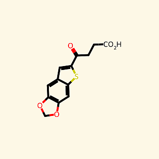 O=C(O)CCC(=O)c1cc2cc3c(cc2s1)OCO3